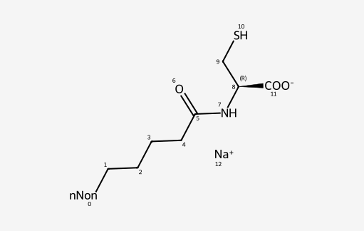 CCCCCCCCCCCCCC(=O)N[C@@H](CS)C(=O)[O-].[Na+]